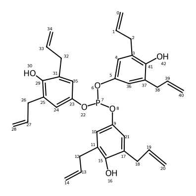 C=CCc1cc(OP(Oc2cc(CC=C)c(O)c(CC=C)c2)Oc2cc(CC=C)c(O)c(CC=C)c2)cc(CC=C)c1O